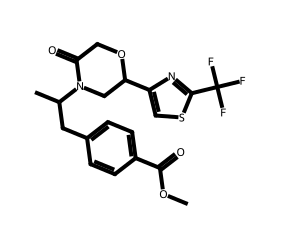 COC(=O)c1ccc(CC(C)N2CC(c3csc(C(F)(F)F)n3)OCC2=O)cc1